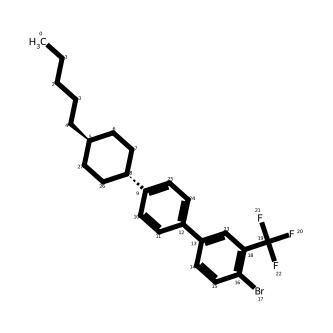 CCCCC[C@H]1CC[C@H](c2ccc(-c3ccc(Br)c(C(F)(F)F)c3)cc2)CC1